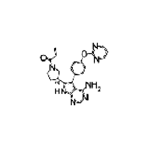 C=CC(=O)N1CC[C@H](c2[nH]c3ncnc(N)c3c2-c2ccc(Oc3ncccn3)cc2)C1